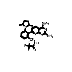 CNc1nc(N)nc2nc(-c3c(N4C(C)CCC4C)cccc3C(F)(F)F)ccc12.O=C(O)C(F)(F)F